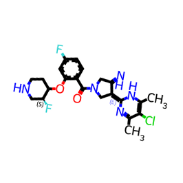 CC1=N/C(=C2\CN(C(=O)c3ccc(F)cc3OC3CCNC[C@@H]3F)CC2=N)NC(C)=C1Cl